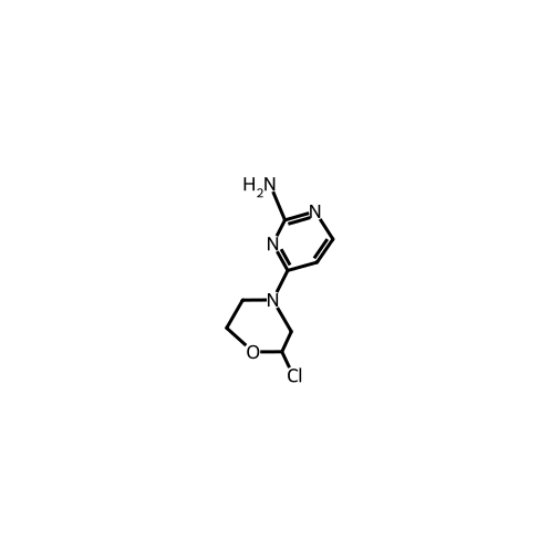 Nc1nccc(N2CCOC(Cl)C2)n1